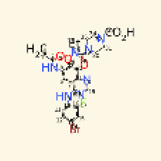 C=CC(=O)Nc1cc2c(Nc3ccc(Br)cc3F)ncnc2cc1ON(CC)C(=O)N1CCN(C(=O)O)CC1